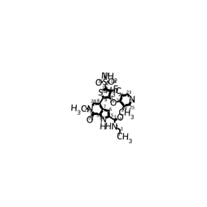 CCNC(=O)c1cc2c(-c3sc(S(N)(=O)=O)c(F)c3Oc3c(C)cncc3C)cn(C)c(=O)c2[nH]1